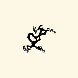 CC(N)c1cccc2c1CC21CC(C)C1C